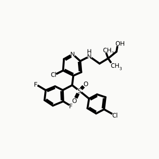 CC(C)(CO)CNc1cc(C(c2cc(F)ccc2F)S(=O)(=O)c2ccc(Cl)cc2)c(Cl)cn1